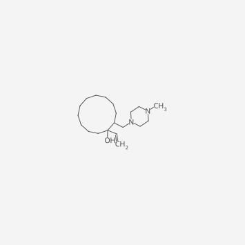 C=CC1(O)CCCCCCCCCCC1CN1CCN(C)CC1